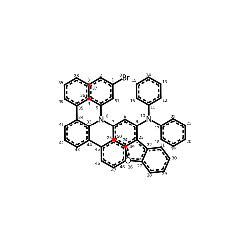 Brc1cccc(N(c2cc(N(c3ccccc3)c3ccccc3)c3c(c2)oc2ccccc23)c2c(-c3ccccc3)cccc2-c2ccccc2)c1